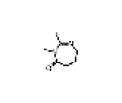 CN1C(=O)CCCN=C1I